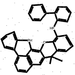 CC1(C)c2cccc(Pc3ccccc3-c3ccccc3)c2Oc2c(Pc3ccccc3-c3ccccc3)cccc21